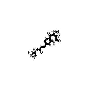 O=C(C=Cc1ccc2c(=O)c3[nH]nnc3c(=O)[nH]c2c1)Nc1nnn[nH]1